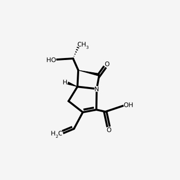 C=CC1=C(C(=O)O)N2C(=O)[C@H]([C@@H](C)O)[C@H]2C1